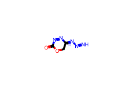 N=N/N=C1\COC(=O)N=N1